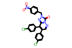 O=c1n(Cc2ccc([N+](=O)[O-])cc2)nc2c(-c3ccc(Cl)cc3)c(-c3ccc(Cl)cc3)cnn12